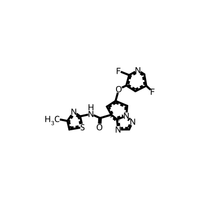 Cc1csc(NC(=O)c2cc(Oc3cc(F)cnc3F)cn3ncnc23)n1